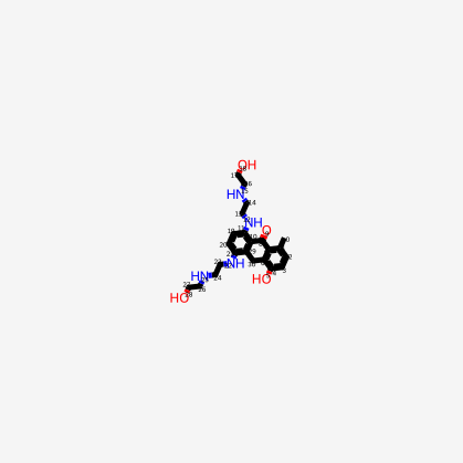 Cc1ccc(O)c2c1C(=O)c1c(NCCNCCO)ccc(NCCNCCO)c1C2